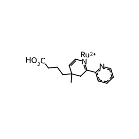 CC1(CCCC(=O)O)C=CN=C(c2ccccn2)C1.[Ru+2]